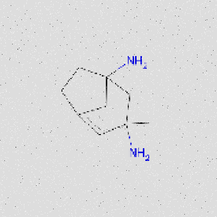 CC1(N)C=C2CCC(N)(C2)C1